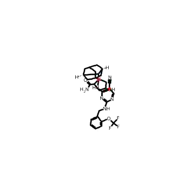 N#Cc1cnc(NCc2ccccc2OC(F)(F)F)nc1NC[C@]12CC3C[C@H](C1)C(N1C[C@H](O)CC1C(N)=O)[C@@H](C3)C2